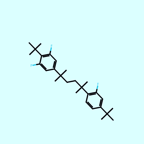 CC(C)(C)c1ccc(C(C)(C)CCC(C)(C)c2cc(F)c(C(C)(C)C)c(F)c2)c(F)c1